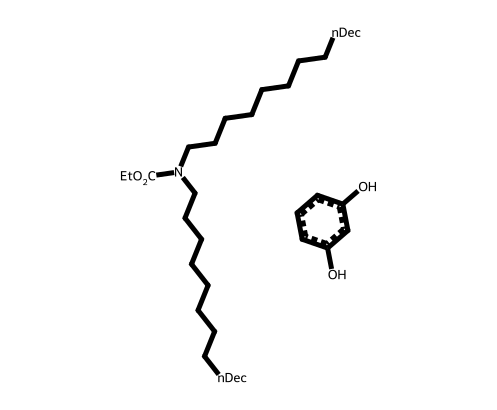 CCCCCCCCCCCCCCCCCCN(CCCCCCCCCCCCCCCCCC)C(=O)OCC.Oc1cccc(O)c1